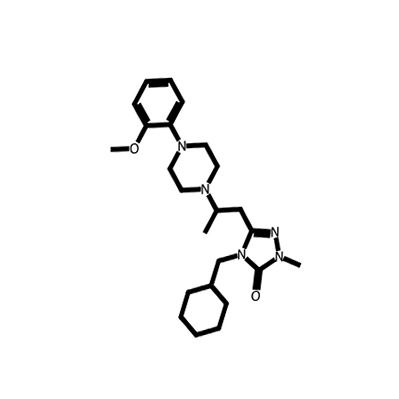 COc1ccccc1N1CCN(C(C)Cc2nn(C)c(=O)n2CC2CCCCC2)CC1